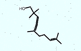 CC(=C=CC(C)(C)CO)CCC=C(C)C